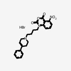 Br.O=c1oc(=O)n(CCCCN2CC=C(c3ccccc3)CC2)c2cccc([N+](=O)[O-])c12